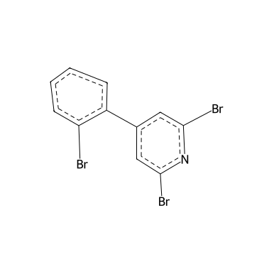 Brc1cc(-c2ccccc2Br)cc(Br)n1